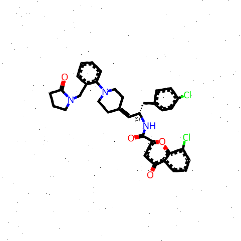 O=C(N[C@H](C=C1CCN(c2ccccc2CN2CCCC2=O)CC1)Cc1ccc(Cl)cc1)c1cc(=O)c2cccc(Cl)c2o1